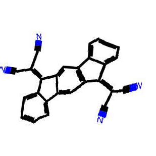 N#CC(C#N)=C1c2ccccc2-c2cc3c(cc21)-c1ccccc1C3=C(C#N)C#N